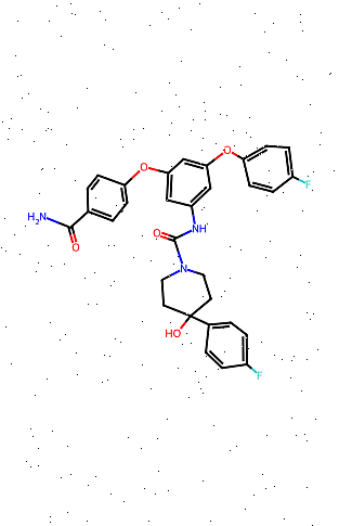 NC(=O)c1ccc(Oc2cc(NC(=O)N3CCC(O)(c4ccc(F)cc4)CC3)cc(Oc3ccc(F)cc3)c2)cc1